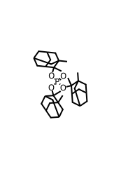 CC12CC3CC(CC(C3)C1(C)OP(=O)(OC1(C)C3CC4CC(C3)CC1(C)C4)OC1(C)C3CC4CC(C3)CC1(C)C4)C2